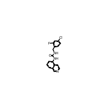 O=C(NCc1ccc(Cl)cc1F)Nc1cccc2cnccc12